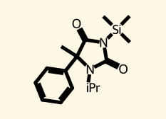 CC(C)N1C(=O)N([Si](C)(C)C)C(=O)C1(C)c1ccccc1